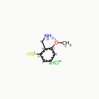 COc1cccc(S)c1CN.Cl